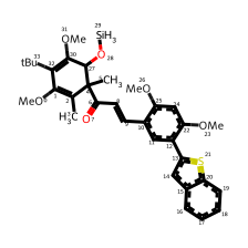 COC1=C(C)C(C)(C(=O)C=Cc2cc(-c3cc4ccccc4s3)c(OC)cc2OC)C(O[SiH3])C(OC)=C1C(C)(C)C